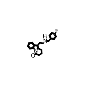 O=C1CCCc2c(CCNCc3ccc(F)cc3)c3ccccc3n21